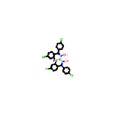 ON=C(c1ccc(Cl)cc1)c1ccc(Cl)c[c]1[Pd-]([Cl])[c]1cc(Cl)ccc1C(=NO)c1ccc(Cl)cc1